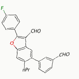 CCCc1cc2oc(-c3ccc(F)cc3)c(C=O)c2cc1-c1cccc(C=O)c1